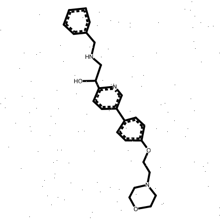 OC(CNCc1ccccc1)c1ccc(-c2ccc(OCCN3CCOCC3)cc2)cn1